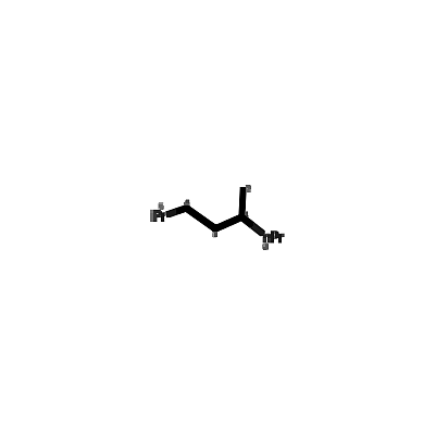 CCCC(C)[C]CC(C)C